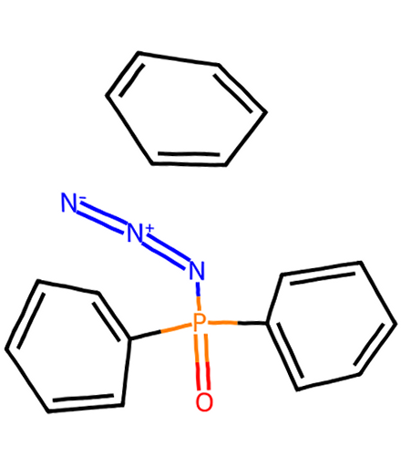 [N-]=[N+]=NP(=O)(c1ccccc1)c1ccccc1.c1ccccc1